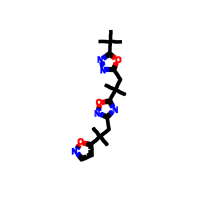 CC(C)(C)c1nnc(CC(C)(C)c2nc(CC(C)(C)c3ccno3)no2)o1